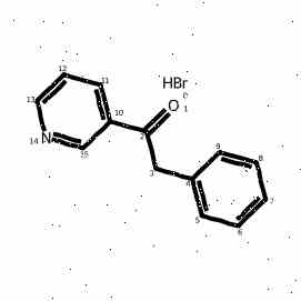 Br.O=C(Cc1ccccc1)c1cccnc1